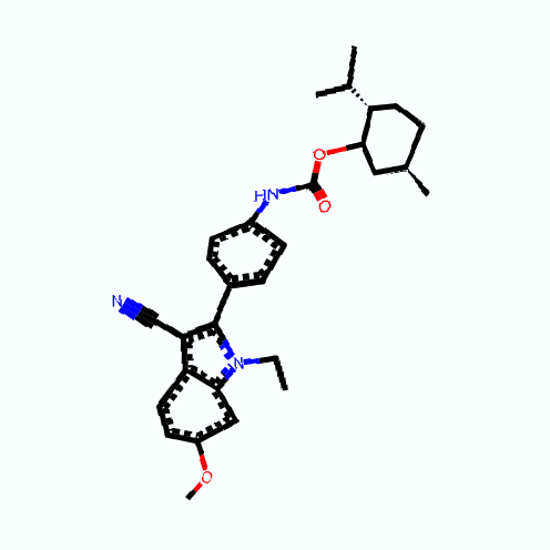 CCn1c(-c2ccc(NC(=O)OC3C[C@H](C)CC[C@H]3C(C)C)cc2)c(C#N)c2ccc(OC)cc21